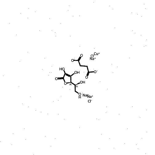 O=C([O-])CCC(=O)[O-].O=C1O[C@H]([C@@H](O)CO)C(O)=C1O.[Cl-].[Cl-].[Cu+].[Na+].[Na+].[Na+]